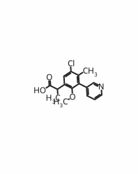 COc1c(C(C)C(=O)O)cc(Cl)c(C)c1-c1cccnc1